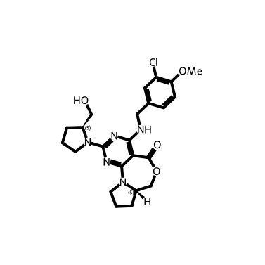 COc1ccc(CNc2nc(N3CCC[C@H]3CO)nc3c2C(=O)OC[C@@H]2CCCN32)cc1Cl